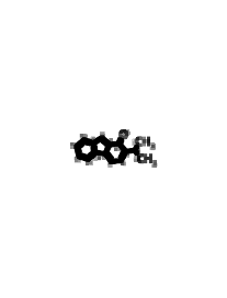 CC(C)C1=CC=C2C(=Cc3ccccc32)C1=O